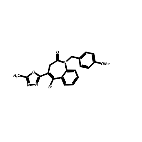 COc1ccc(CN2C(=O)CC(c3nnc(C)o3)=C(Br)c3ccccc32)cc1